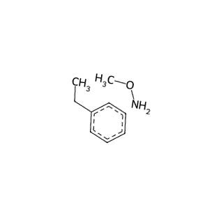 CCc1ccccc1.CON